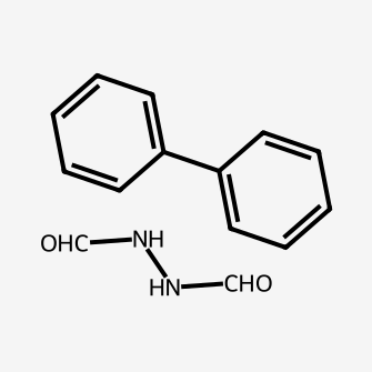 O=CNNC=O.c1ccc(-c2ccccc2)cc1